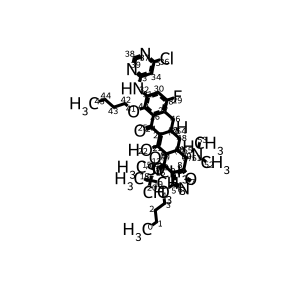 CCCCOc1noc2c1C(=O)[C@@]1(O[Si](C)(C)C(C)(C)C)C(O)=C3C(=O)c4c(c(F)cc(Nc5cc(Cl)ncn5)c4OCCCC)C[C@H]3C[C@H]1[C@@H]2N(C)C